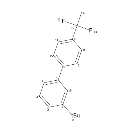 CC(C)(C)c1cccc(-c2ccc(C(C)(F)F)cc2)c1